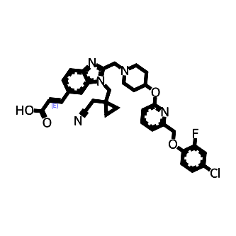 N#CCC1(Cn2c(CN3CCC(Oc4cccc(COc5ccc(Cl)cc5F)n4)CC3)nc3ccc(/C=C/C(=O)O)cc32)CC1